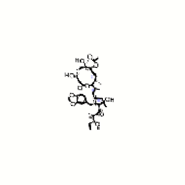 CC[C@H](OC)[C@@H](C)[C@H]1O[C@@H]1C(NCc1ccc2c(c1)OCO2)C(C)(O)/C=C/C=C(\C)C1OC(=O)C[C@H](O)CC[C@@](C)(O)[C@@H](OC(C)=O)/C=C/[C@@H]1C